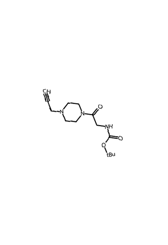 C#CCN1CCN(C(=O)CNC(=O)OC(C)(C)C)CC1